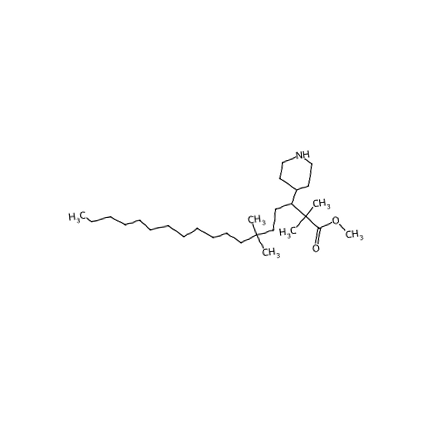 CCCCCCCCCCCCC(C)(C)CCC(C1CCNCC1)C(C)(C)C(=O)OC